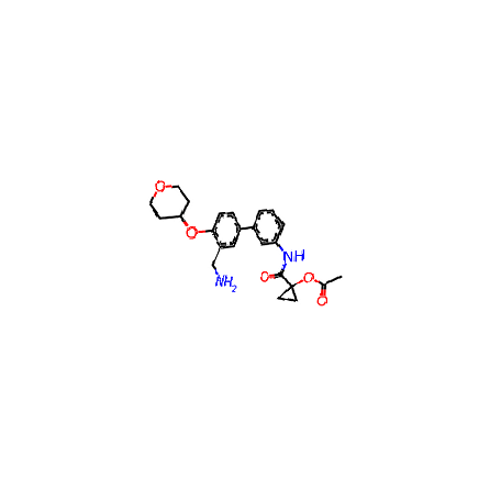 CC(=O)OC1(C(=O)Nc2cccc(-c3ccc(OC4CCOCC4)c(CN)c3)c2)CC1